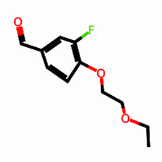 CCOCCOc1ccc(C=O)cc1F